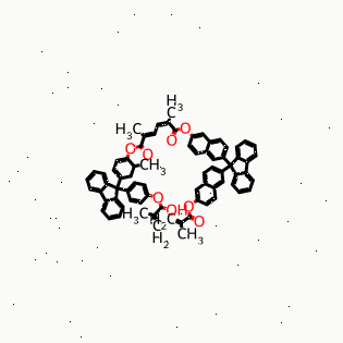 C=C(C)C(=O)Oc1ccc2cc(C3(c4ccc5cc(OC(=O)/C(C)=C\C=C(/C)C(=O)OC6=CC=C(C7(c8ccc(OC(O)C(=C)C)cc8)c8ccccc8-c8ccccc87)CC6C)ccc5c4)c4ccccc4-c4ccccc43)ccc2c1